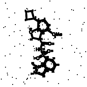 COc1ccc(C2CCC2)c2c1[C@@H](C(=O)NS(=O)(=O)c1cccc3cnn(C)c13)CO2